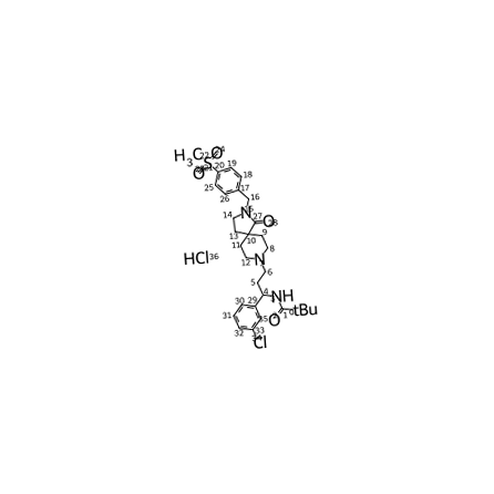 CC(C)(C)C(=O)NC(CCN1CCC2(CC1)CCN(Cc1ccc(S(C)(=O)=O)cc1)C2=O)c1cccc(Cl)c1.Cl